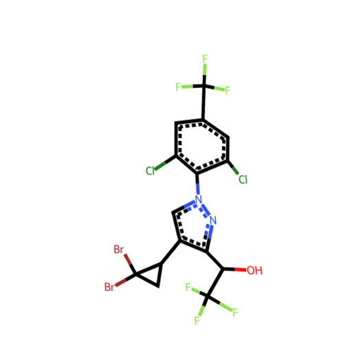 OC(c1nn(-c2c(Cl)cc(C(F)(F)F)cc2Cl)cc1C1CC1(Br)Br)C(F)(F)F